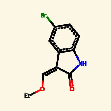 CCOC=C1C(=O)Nc2ccc(Br)cc21